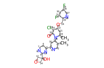 Cc1cnc(-c2ccnc(C3(O)COC3)n2)cc1-n1c(C)cc(OCc2ncc(F)cc2F)c(Cl)c1=O